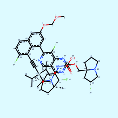 COCOc1cc(-c2ncc3c(N4[C@H]5CC[C@@H]4[C@@H](F)[C@H](NC(=O)O)C5)nc(OC[C@@]45CCCN4C[C@H](F)C5)nc3c2F)c2c(C#C[Si](C(C)C)(C(C)C)C(C)C)c(F)ccc2c1